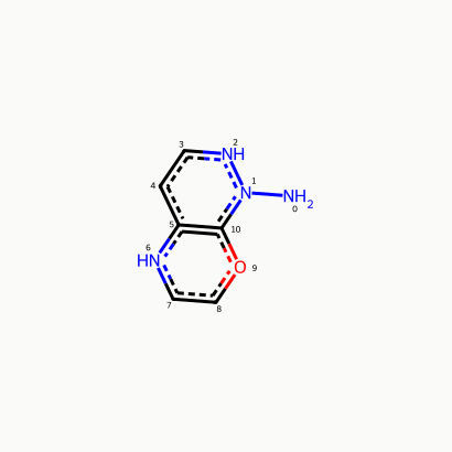 Nn1[nH]ccc2[nH]ccoc1=2